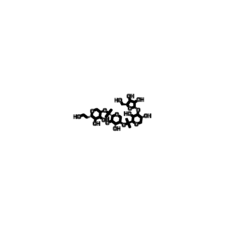 CC(C)(O[C@@H]1CO[C@@H](C(C)(C)O[C@@H]2CO[C@@H](CCO)C(O)C2O)C(O)[C@H]1O)[C@@H]1OC[C@@H](O)C(O[C@@H]2O[C@@H](CO)C(O)C2O)C1O